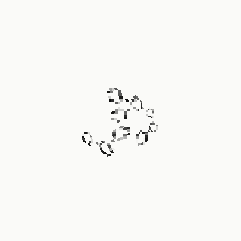 c1ccc(-c2cccc(-c3cccc(-c4ccc5c6ccccc6c6ccc(-c7cccc(-c8cccc(-c9ccccc9)c8)c7)cc6c5c4)c3)c2)cc1